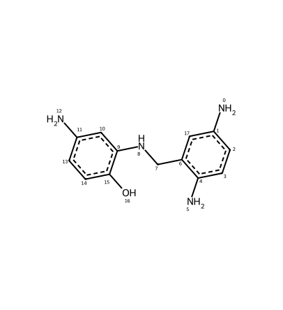 Nc1ccc(N)c(CNc2cc(N)ccc2O)c1